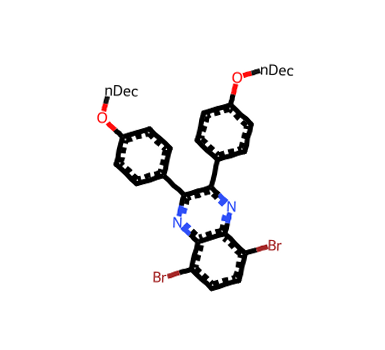 CCCCCCCCCCOc1ccc(-c2nc3c(Br)ccc(Br)c3nc2-c2ccc(OCCCCCCCCCC)cc2)cc1